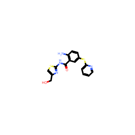 Nc1ccc(Sc2ccccn2)cc1C(=O)Nc1nc(CO)cs1